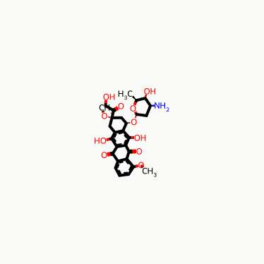 COc1cccc2c1C(=O)c1c(O)c3c(c(O)c1C2=O)C[C@@](OC)(C(=O)CO)C[C@@H]3O[C@H]1C[C@H](N)[C@H](O)[C@H](C)O1